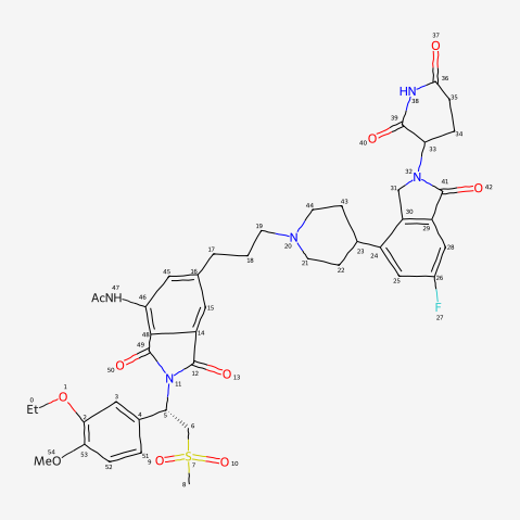 CCOc1cc([C@@H](CS(C)(=O)=O)N2C(=O)c3cc(CCCN4CCC(c5cc(F)cc6c5CN(C5CCC(=O)NC5=O)C6=O)CC4)cc(NC(C)=O)c3C2=O)ccc1OC